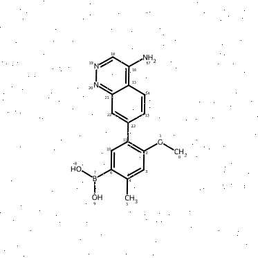 COc1cc(C)c(B(O)O)cc1-c1ccc2c(N)cnnc2c1